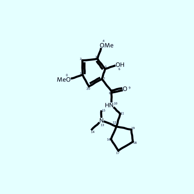 COc1cc(OC)c(O)c(C(=O)NCC2(N(C)C)CCCC2)c1